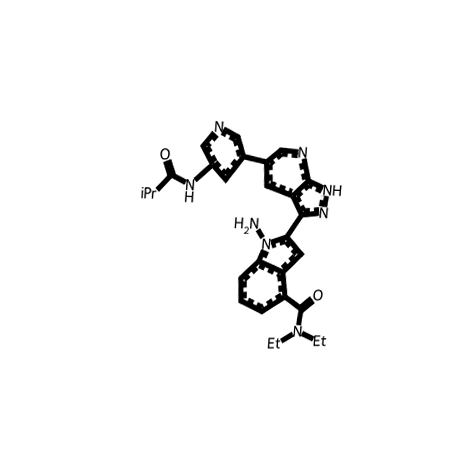 CCN(CC)C(=O)c1cccc2c1cc(-c1n[nH]c3ncc(-c4cncc(NC(=O)C(C)C)c4)cc13)n2N